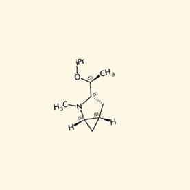 CC(C)O[C@@H](C)[C@@H]1C[C@@H]2C[C@@H]2N1C